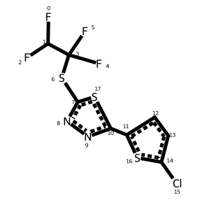 FC(F)C(F)(F)Sc1nnc(-c2ccc(Cl)s2)s1